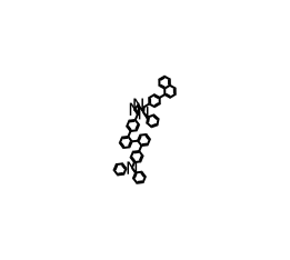 c1ccc(N(c2ccccc2)c2ccc(-c3ccccc3-c3ccccc3-c3ccc(-c4nnc(-c5ccc(-c6cccc7ccccc67)cc5)n4-c4ccccc4)cc3)cc2)cc1